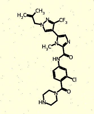 C=C(C)Cn1cc(-c2cnc(C(=O)Nc3ccc(C(=O)N4CCNCC4)c(Cl)c3)n2C)c(C(F)(F)F)n1